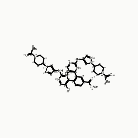 COC(=O)c1ccc(-c2nc(Nc3cnn(C4CCN(C(=O)C(C)(C)C)CC4)c3)ncc2Cl)c(-c2nc(Nc3cnn(C4CCN(C(=O)C(C)(C)C)CC4)c3)ncc2Cl)c1